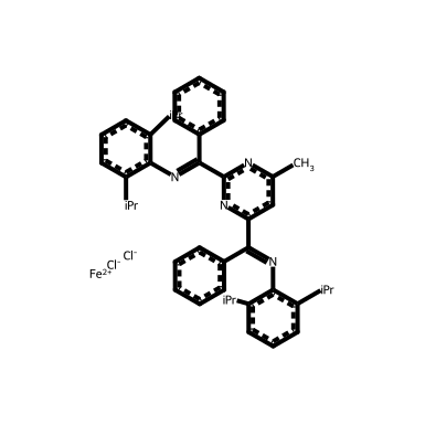 Cc1cc(C(=Nc2c(C(C)C)cccc2C(C)C)c2ccccc2)nc(C(=Nc2c(C(C)C)cccc2C(C)C)c2ccccc2)n1.[Cl-].[Cl-].[Fe+2]